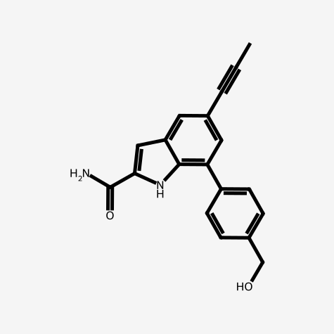 CC#Cc1cc(-c2ccc(CO)cc2)c2[nH]c(C(N)=O)cc2c1